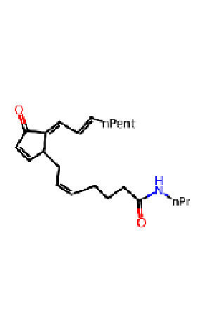 CCCCC/C=C/C=C1/C(=O)C=CC1C/C=C\CCCC(=O)NCCC